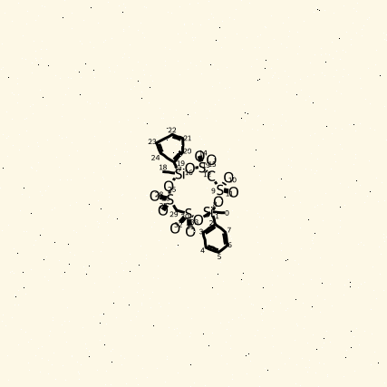 C[Si]1(c2ccccc2)OS(=O)(=O)CS(=O)(=O)O[Si](C)(c2ccccc2)OS(=O)(=O)CS(=O)(=O)O1